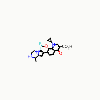 CC1NCCn2cc(-c3ccc4c(=O)c(C(=O)O)cn(C5CC5)c4c3OC(F)F)cc21